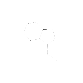 SCC1NCC2CCCCC21